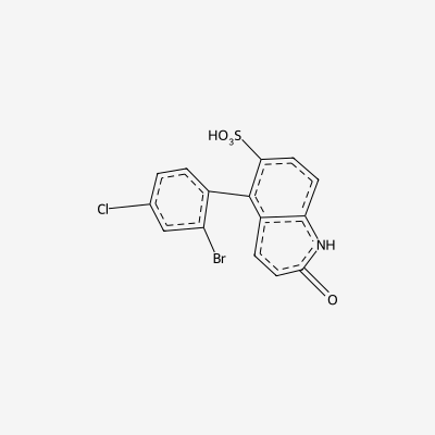 O=c1ccc2c(-c3ccc(Cl)cc3Br)c(S(=O)(=O)O)ccc2[nH]1